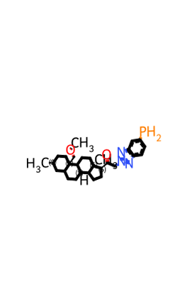 COC[C@]12CC[C@H](C)CC1CC[C@@H]1C2CC[C@@]2(C)C1CC[C@@H]2C(=O)Cn1nc2ccc(P)cc2n1